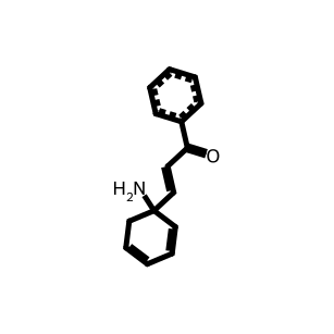 NC1(C=CC(=O)c2ccccc2)C=CC=CC1